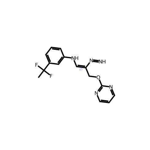 CC(F)(F)c1cccc(N/C=C(/COc2ncccn2)N=N)c1